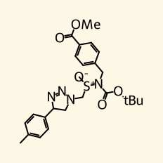 COC(=O)c1ccc(CN(C(=O)OC(C)(C)C)[S+]([O-])CN2CC(c3ccc(C)cc3)N=N2)cc1